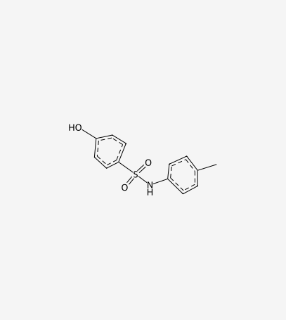 Cc1ccc(NS(=O)(=O)c2ccc(O)cc2)cc1